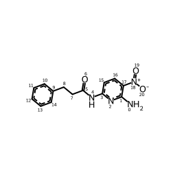 Nc1nc(NC(=O)CCc2ccccc2)ccc1[N+](=O)[O-]